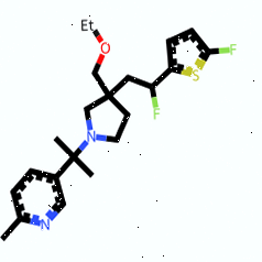 CCOCC1(CC(F)c2ccc(F)s2)CCN(C(C)(C)c2ccc(C)nc2)C1